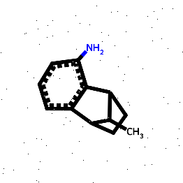 CC1C2CCC1c1c(N)cccc12